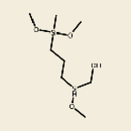 CO[SiH](CO)CCC[Si](C)(OC)OC